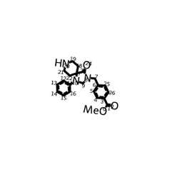 COC(=O)c1ccc(CN2CN(c3ccccc3)C3(CCNCC3)C2=O)cc1